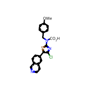 COc1ccc(CN(C(=O)O)c2nc(Cl)c(-c3ccc4cnccc4c3)s2)cc1